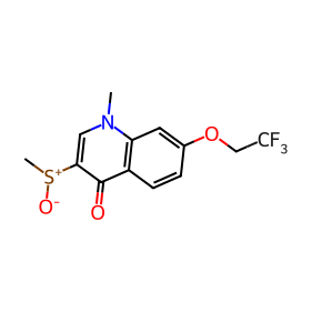 Cn1cc([S+](C)[O-])c(=O)c2ccc(OCC(F)(F)F)cc21